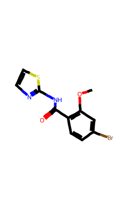 COc1cc(Br)ccc1C(=O)Nc1nccs1